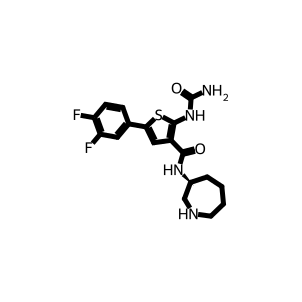 NC(=O)Nc1sc(-c2ccc(F)c(F)c2)cc1C(=O)N[C@H]1CCCCNC1